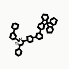 c1ccc(-c2cccc(-c3nc(-c4ccccc4)cc(-c4ccc(-c5cccc(-c6ccc7c(c6)C(c6ccccc6)(c6ccccc6)c6ccccc6-7)c5)cc4)n3)c2)cc1